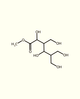 COC(=O)C(O)C(CO)C(O)C(CO)CO